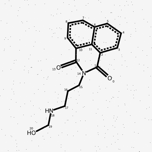 O=C1c2cccc3cccc(c23)C(=O)N1CCCNCO